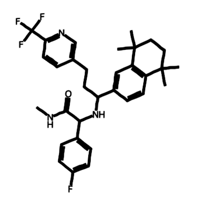 CNC(=O)C(NC(CCc1ccc(C(F)(F)F)nc1)c1ccc2c(c1)C(C)(C)CCC2(C)C)c1ccc(F)cc1